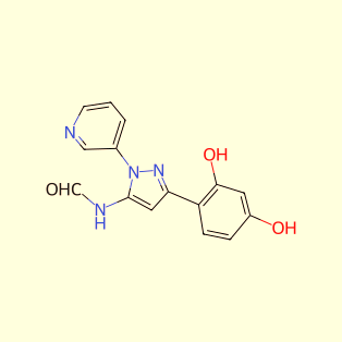 O=CNc1cc(-c2ccc(O)cc2O)nn1-c1cccnc1